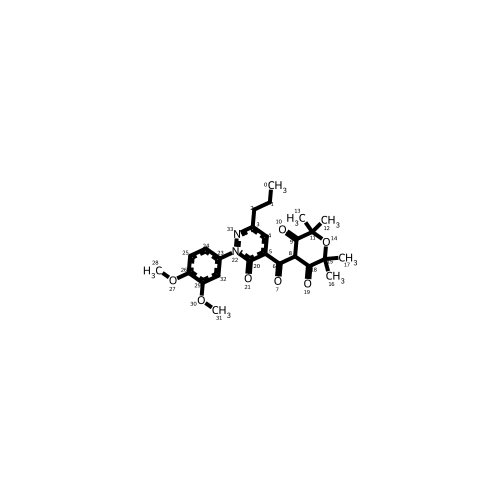 CCCc1cc(C(=O)C2C(=O)C(C)(C)OC(C)(C)C2=O)c(=O)n(-c2ccc(OC)c(OC)c2)n1